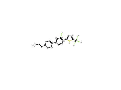 CCCC1CC=C(c2ccc(-c3ccc(C(F)(F)F)s3)c(F)c2)CC1